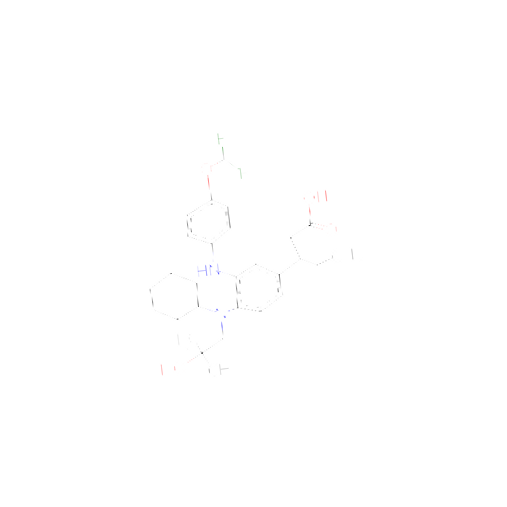 CCC(CC(=O)O)c1ccc(N(CC(C)(C)O)C2CCCCC2)c(Nc2ccc(OC(F)F)cc2)c1